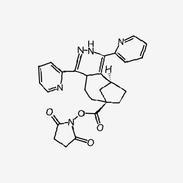 O=C1CCC(=O)N1OC(=O)[C@]12CCC3C(c4ccccn4)=NNC(c4ccccn4)=C3[C@@H](CC1)C2